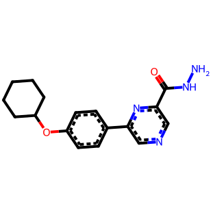 NNC(=O)c1cncc(-c2ccc(OC3CCCCC3)cc2)n1